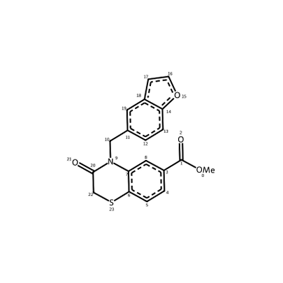 COC(=O)c1ccc2c(c1)N(Cc1ccc3occc3c1)C(=O)CS2